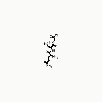 NC(=O)CCC(N)C(=O)NC(CS)C(=O)NCC(=O)O